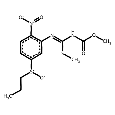 CCC[S+]([O-])c1ccc([N+](=O)[O-])c(N=C(NC(=O)OC)SC)c1